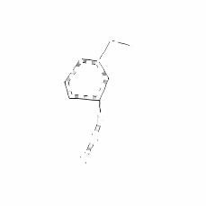 [N-]=[N+]=Nc1cccc(CCl)c1